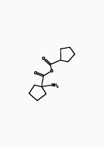 NC1(C(=O)OC(=O)C2CCCC2)CCCC1